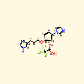 O=C(O)C(F)(F)F.c1cn(-c2ccc(OCCCc3c[nH]cn3)cc2)cn1